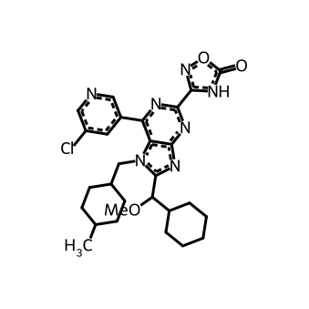 COC(c1nc2nc(-c3noc(=O)[nH]3)nc(-c3cncc(Cl)c3)c2n1CC1CCC(C)CC1)C1CCCCC1